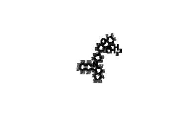 CC1(C)c2ccccc2Oc2ccc(C3=CC=C(n4c5cc6ccccc6cc5c5c6ccccc6ccc54)CC3)cc21